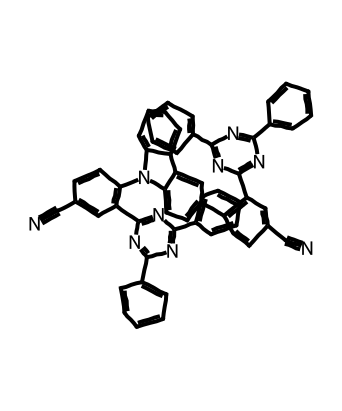 N#Cc1ccc(-c2ccc3c(c2)c2ccccc2n3-c2ccc(C#N)cc2-c2nc(-c3ccccc3)nc(-c3ccccc3)n2)c(-c2nc(-c3ccccc3)nc(-c3ccccc3)n2)c1